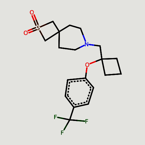 O=S1(=O)CC2(CCN(CC3(Oc4ccc(C(F)(F)F)cc4)CCC3)CC2)C1